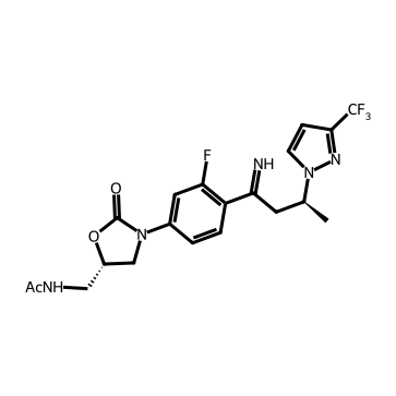 CC(=O)NC[C@H]1CN(c2ccc(C(=N)C[C@H](C)n3ccc(C(F)(F)F)n3)c(F)c2)C(=O)O1